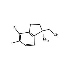 N[C@@]1(CO)CCc2c1ccc(F)c2F